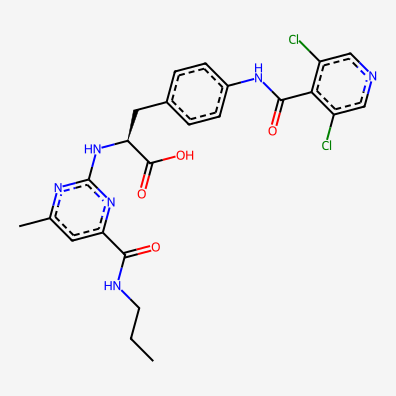 CCCNC(=O)c1cc(C)nc(N[C@@H](Cc2ccc(NC(=O)c3c(Cl)cncc3Cl)cc2)C(=O)O)n1